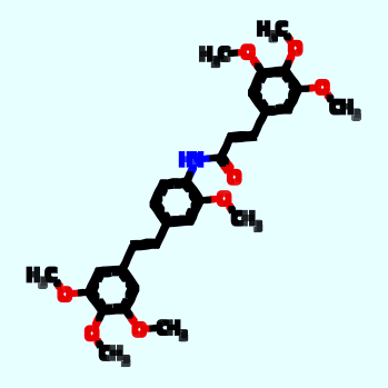 COc1cc(C=Cc2cc(OC)c(OC)c(OC)c2)ccc1NC(=O)/C=C/c1cc(OC)c(OC)c(OC)c1